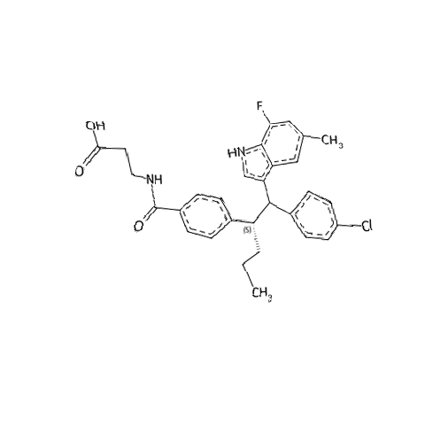 CCC[C@H](c1ccc(C(=O)NCCC(=O)O)cc1)C(c1ccc(Cl)cc1)c1c[nH]c2c(F)cc(C)cc12